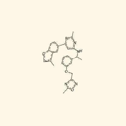 Cc1nc(NC(C)c2cccc(OCc3noc(C)n3)c2)cc(-c2ccc3occ(C)c3c2)n1